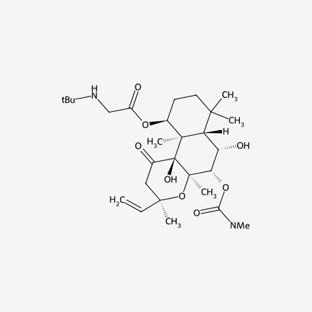 C=C[C@@]1(C)CC(=O)[C@]2(O)[C@@]3(C)[C@@H](OC(=O)CNC(C)(C)C)CCC(C)(C)[C@@H]3[C@H](O)[C@H](OC(=O)NC)[C@@]2(C)O1